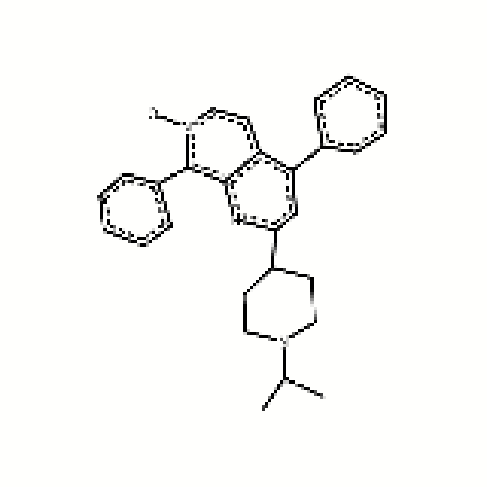 CC(C)N1CCC(c2cc(-c3ccccc3)c3cc[n+]([O-])c(-c4ccccc4)c3n2)CC1